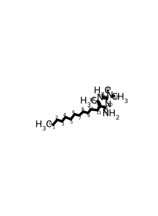 CCCCCCCCCCCCc1c(C)nc(N(C)C)nc1N